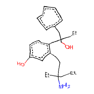 CCC(N)(CC)Cc1cc(O)ccc1C(O)(CC)c1ccccc1